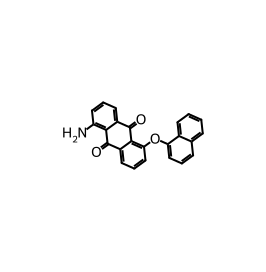 Nc1cccc2c1C(=O)c1cccc(Oc3cccc4ccccc34)c1C2=O